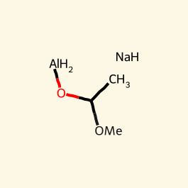 COC(C)[O][AlH2].[NaH]